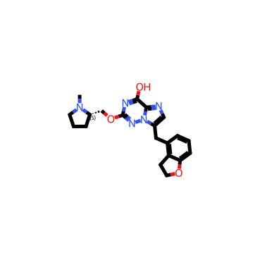 CN1CCC[C@H]1COc1nc(O)c2ncc(Cc3cccc4c3CCO4)n2n1